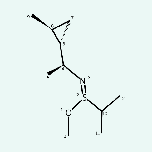 COS(=N[C@@H](C)[C@H]1C[C@@H]1C)C(C)C